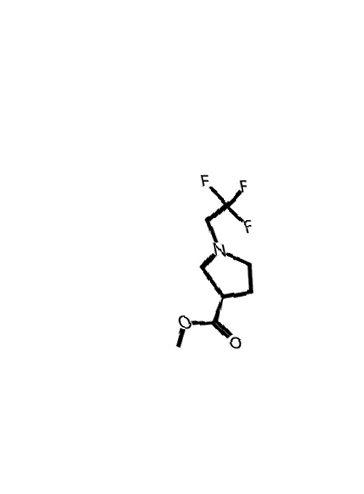 COC(=O)[C@@H]1CCN(CC(F)(F)F)C1